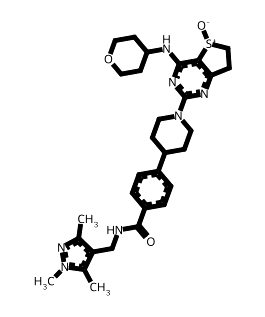 Cc1nn(C)c(C)c1CNC(=O)c1ccc(C2CCN(c3nc4c(c(NC5CCOCC5)n3)[S+]([O-])CC4)CC2)cc1